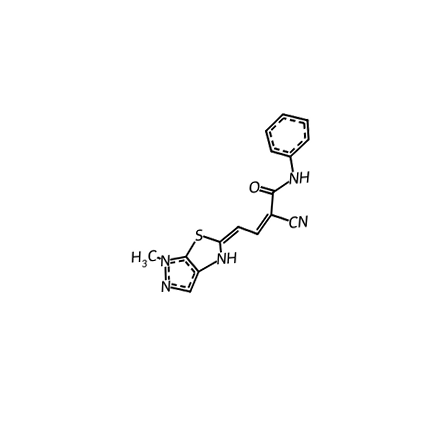 Cn1ncc2c1SC(=CC=C(C#N)C(=O)Nc1ccccc1)N2